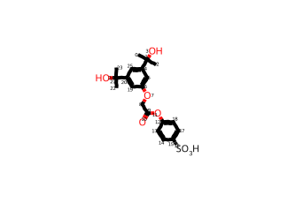 CC(C)(O)c1cc(OCC(=O)Oc2ccc(S(=O)(=O)O)cc2)cc(C(C)(C)O)c1